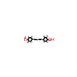 COc1ccc(C#CC#Cc2ccc(O)cc2)cc1